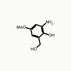 COc1cc(N)c(O)c(CO)c1